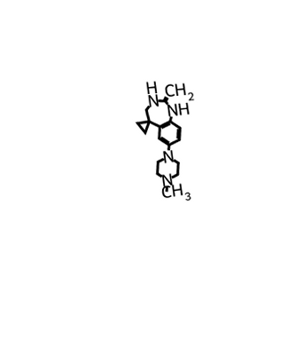 C=C1NCC2(CC2)c2cc(N3CCN(C)CC3)ccc2N1